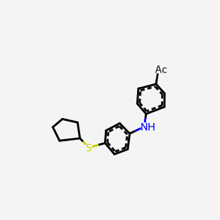 CC(=O)c1ccc(Nc2ccc(SC3CCCC3)cc2)cc1